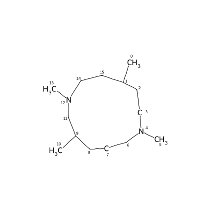 CC1CCN(C)CCCC(C)CN(C)CC1